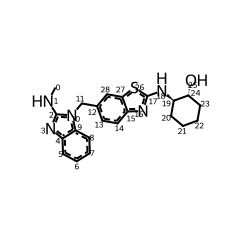 CNc1nc2ccccc2n1Cc1ccc2nc(N[C@@H]3CCCC[C@H]3O)sc2c1